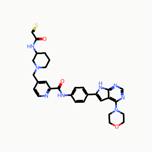 O=C(C=S)NC1CCCN(Cc2ccnc(C(=O)Nc3ccc(-c4cc5c(N6CCOCC6)ncnc5[nH]4)cc3)c2)C1